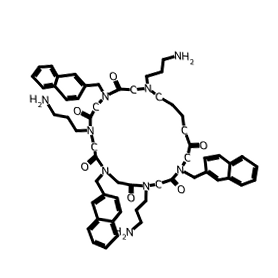 NCCCN1CCCCC(=O)CN(Cc2ccc3ccccc3c2)C(=O)CN(CCCN)C(=O)CN(Cc2ccc3ccccc3c2)C(=O)CN(CCCN)C(=O)CN(Cc2ccc3ccccc3c2)C(=O)C1